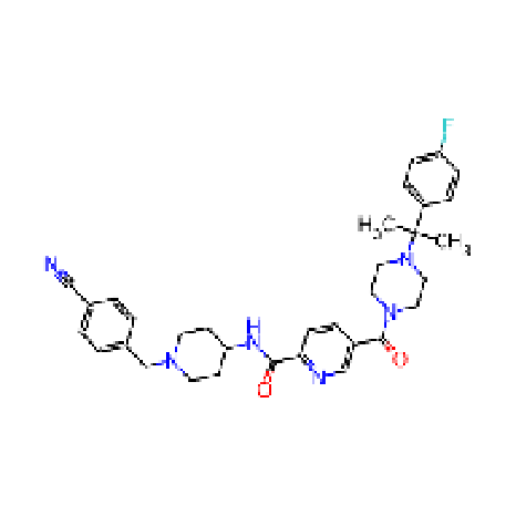 CC(C)(c1ccc(F)cc1)N1CCN(C(=O)c2ccc(C(=O)NC3CCN(Cc4ccc(C#N)cc4)CC3)nc2)CC1